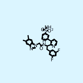 Cc1cc2ncn(CC(=O)NC(Cc3cc(F)cc(F)c3)c3ncccc3-c3cccc(S(N)(=O)=O)c3)c2cc1C